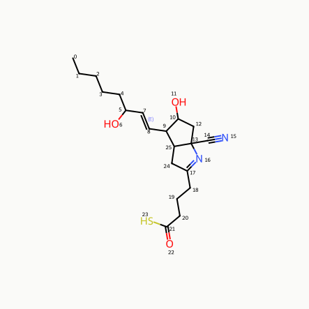 CCCCCC(O)/C=C/C1C(O)CC2(C#N)N=C(CCCC(=O)S)CC12